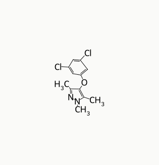 Cc1nn(C)c(C)c1Oc1cc(Cl)cc(Cl)c1